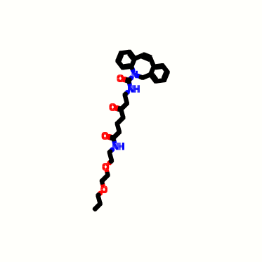 CCCOCCOCCNC(=O)CCCC(=O)CCNC(=O)N1Cc2ccccc2C#Cc2ccccc21